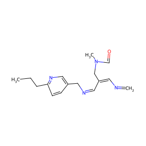 C=N/C=C(\C=N/Cc1ccc(CCC)nc1)CN(C)C=O